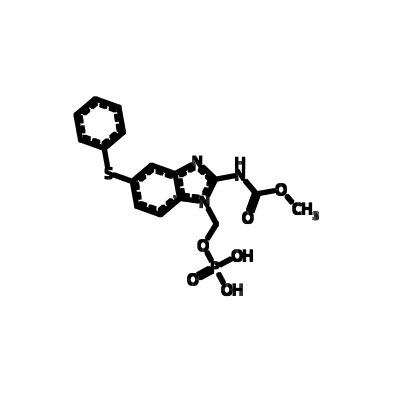 COC(=O)Nc1nc2cc(Sc3ccccc3)ccc2n1COP(=O)(O)O